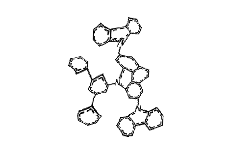 c1ccc(-c2cc(-c3ccccc3)cc(-n3c4cc(-n5c6ccccc6c6ccccc65)cc5ccc6cc(-n7c8ccccc8c8ccccc87)cc3c6c54)c2)cc1